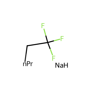 CCCCC(F)(F)F.[NaH]